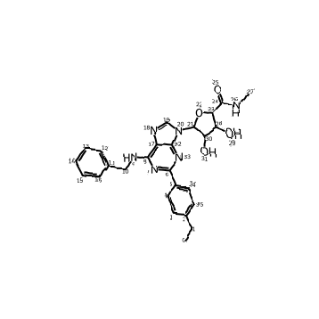 CCc1ccc(-c2nc(NCc3ccccc3)c3ncn(C4O[C@@H](C(=O)NC)C(O)C4O)c3n2)cc1